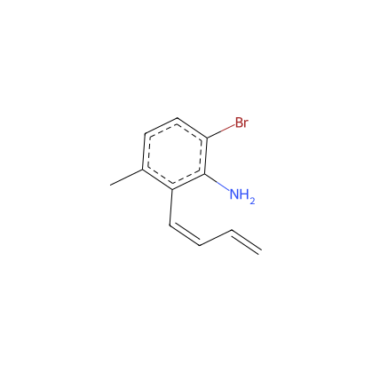 C=C/C=C\c1c(C)ccc(Br)c1N